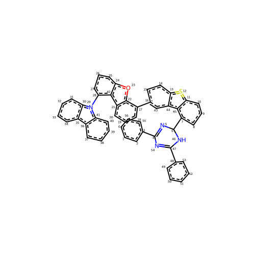 c1ccc(C2=NC(c3cccc4sc5ccc(-c6cccc7c6oc6cccc(-n8c9ccccc9c9ccccc98)c67)cc5c34)NC(c3ccccc3)=N2)cc1